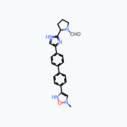 CN1C=C(c2ccc(-c3ccc(-c4c[nH]c(C5CCCN5C=O)n4)cc3)cc2)NO1